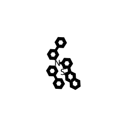 c1ccc(-c2cccc(N(c3cccc(-c4ccccc4)c3)c3cccc4c3sc3cc5ccccc5cc34)c2)cc1